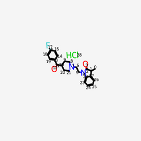 CC1C(=O)N(CCN2CCC(C(=O)c3ccc(F)cc3)CC2)c2ccccc21.Cl